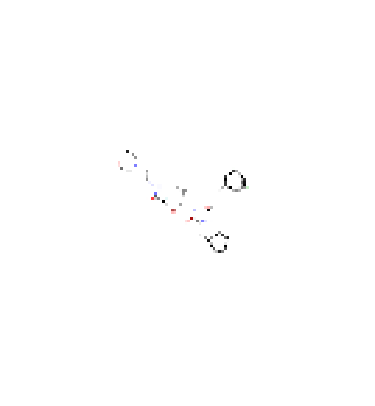 CC(C)[C@H](NC(=O)[C@H](Cc1ccccc1)NC(=O)CCc1cc(Cl)cc(Cl)c1)C(=O)C(F)(F)C(=O)NCCN1CCOCC1